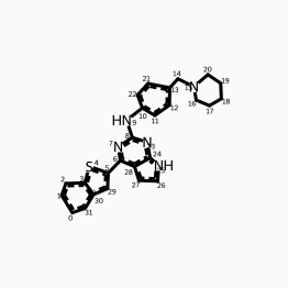 c1ccc2sc(-c3nc(Nc4ccc(CN5CCCCC5)cc4)nc4[nH]ccc34)cc2c1